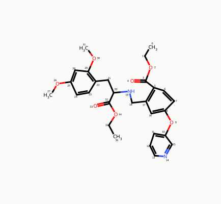 CCOC(=O)c1ccc(Oc2cccnc2)cc1CNC(Cc1ccc(OC)cc1OC)C(=O)OCC